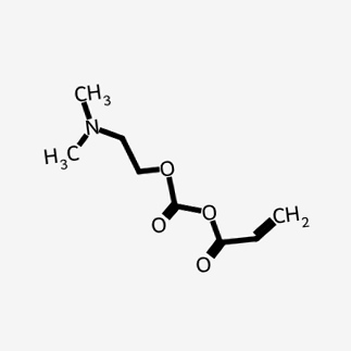 C=CC(=O)OC(=O)OCCN(C)C